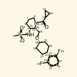 CS(=O)(=O)N[C@H]1CCCN(C(=O)C2CC2)[C@H]1CO[C@H]1CC[C@@H](c2c(F)cccc2F)CC1